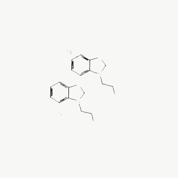 N.N.O=S(=O)(O)CCN1CSc2ccccc21.O=S(=O)(O)CCN1CSc2ccccc21